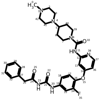 CN1CCN(C2CCN(C(=O)Nc3cc(Oc4ccc(NC(=O)NC(=O)Cc5ccccc5)cc4F)ccn3)CC2)CC1